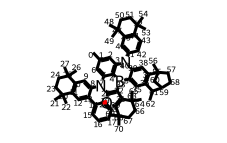 Cc1cc2c3c(c1)N(c1cc4c(cc1-c1ccccc1)C(C)(C)CCC4(C)C)c1oc4c(c1B3c1cc3c(cc1N2c1ccc2c(c1)C(C)(C)CCC2(C)C)C1(C)CCC(C1)C3C)C(C)(C)CCC4(C)C